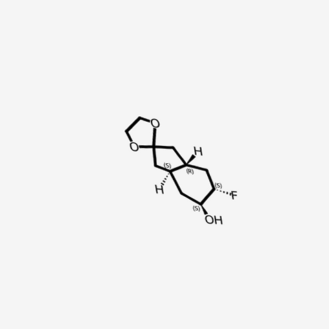 O[C@H]1C[C@H]2CC3(C[C@@H]2C[C@@H]1F)OCCO3